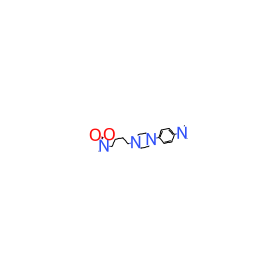 CN1CC(CCN2CCN(c3ccc(N(C)C)cc3)CC2)OC1=O